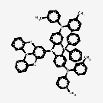 Cc1cccc(N(c2cccc(C)c2)c2ccc3c(c2)[Si](c2ccccc2)(c2ccccc2)c2cc(N(c4cccc(C)c4)c4cccc(C)c4)ccc2N3c2cc3c4c(c2)Sc2ccccc2B4c2ccccc2O3)c1